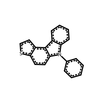 c1ccc(-n2c3ccccc3c3c4ccsc4ccc32)cc1